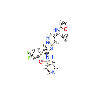 CCCC(=O)N[C@@H](c1cnn2cc([C@@H](NC(=O)c3ccncc3)C3CCC(F)(F)CC3)nc2c1)C1CC1